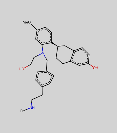 COc1ccc([C@@H]2CCc3cc(O)ccc3C2)c(N(CCO)Cc2ccc(CCNC(C)C)cc2)c1